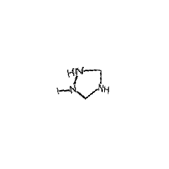 IN1CNCN1